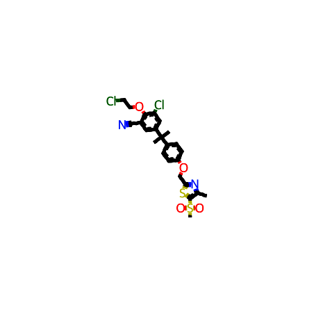 Cc1nc(COc2ccc(C(C)(C)c3cc(Cl)c(OCCCl)c(C#N)c3)cc2)sc1S(C)(=O)=O